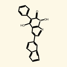 O=c1c(-c2ccccc2)c(O)c2cc(-c3ccc4ccccc4c3)cnc2n1O